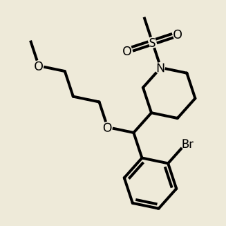 COCCCOC(c1ccccc1Br)C1CCCN(S(C)(=O)=O)C1